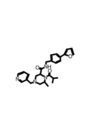 CC(C)C(=O)N1C(C)CN(Cc2cccnc2)CC1C(=O)NCc1ccc(-c2ccco2)cc1